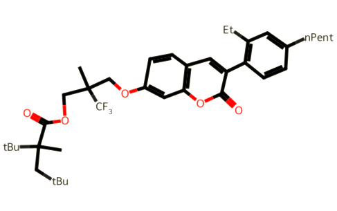 CCCCCc1ccc(-c2cc3ccc(OCC(C)(COC(=O)C(C)(CC(C)(C)C)C(C)(C)C)C(F)(F)F)cc3oc2=O)c(CC)c1